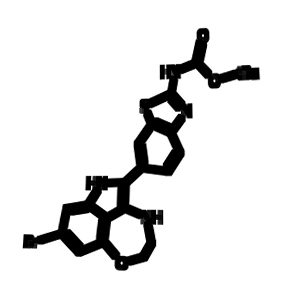 CC(C)(C)OC(=O)Nc1nc2ccc(-c3[nH]c4cc(Br)cc5c4c3NCCO5)cc2s1